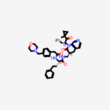 CC(C)C[C@H](NC(=O)[C@H](CNC(=O)[C@H](CCc1ccccc1)NC(=O)Cc1ccc(CN2CCOCC2)cc1)Cc1ccncc1)C(=O)C1(C)CC1